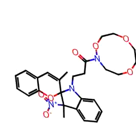 CC1=Cc2ccccc2OC12N(CCC(=O)N1CCOCCOCCO1)c1ccccc1C2(C)[N+](=O)[O-]